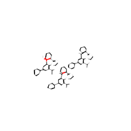 CC(C)c1cc(-c2ccccc2)cc(C(C)C)c1-n1ccnc1-c1ccccc1.CC(C)c1cc(-c2ccccc2)cc(C(C)C)c1-n1ccnc1-c1ccccc1.CC(C)c1cc(-c2ccccc2)cc(C(C)C)c1-n1ccnc1-c1ccccc1.[Ir+8]